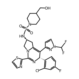 O=S(=O)(N[C@H]1CC2=C(c3ccn(C(F)F)n3)[C@H](c3ccc(F)cc3Cl)N=C(c3nccs3)N2C1)N1CCC(CO)CC1